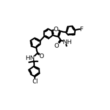 CNC(=O)c1c(-c2ccc(F)cc2)oc2ccc(-c3cccc(C(=O)NC(C)(C)c4ccc(Cl)cc4)c3)cc12